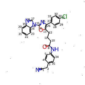 N#CCc1ccc(NC(=O)CCCc2oc(-n3cnc4ccccc43)nc2-c2ccc(Cl)cc2)cc1